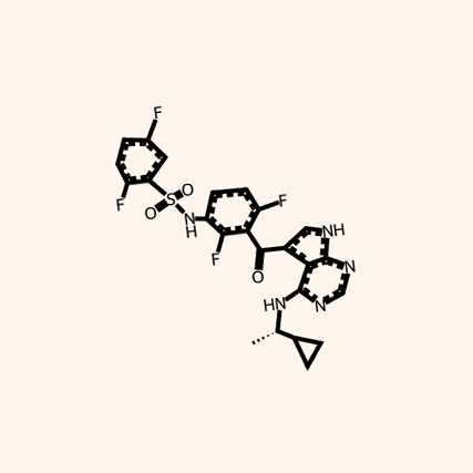 C[C@H](Nc1ncnc2[nH]cc(C(=O)c3c(F)ccc(NS(=O)(=O)c4cc(F)ccc4F)c3F)c12)C1CC1